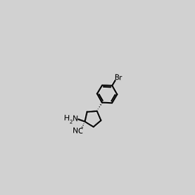 N#C[C@@]1(N)CC[C@@H](c2ccc(Br)cc2)C1